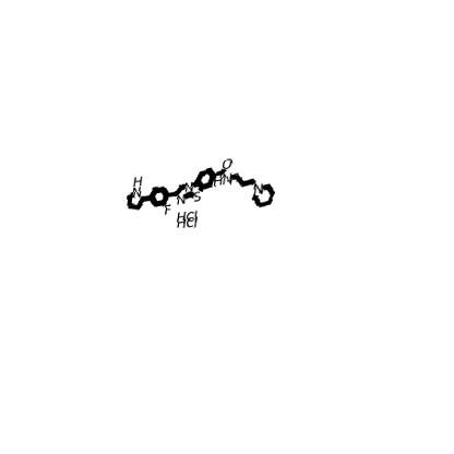 Cl.Cl.O=C(NCCCN1CCCCC1)c1ccc2c(c1)sc1nc(-c3ccc(C4CCCN4)cc3F)cn12